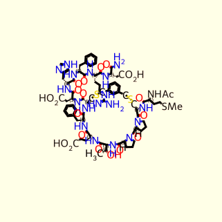 CSCC[C@H](NC(C)=O)C(=O)N[C@H]1CSCc2cccc(c2)CSC[C@@H](C(=O)N[C@@H](CC(=O)O)C(=O)N[C@H](Cc2c[nH]cn2)C(=O)N[C@@H](Cc2ccccc2)C(=O)N[C@@H](CCCNC(=N)N)C(=O)N[C@@H](CC(=O)O)C(N)=O)NC(=O)[C@H](Cc2ccccc2)NC(=O)[C@H](CCC(=O)O)NC(=O)[C@H]([C@@H](C)O)NC(=O)[C@@H]2CCCN2C(=O)[C@@H]2CCCN2C1=O